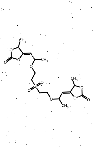 CC(/C=C1\OC(=O)OC1C)OCCS(=O)(=O)CCOC(C)/C=C1\OC(=O)OC1C